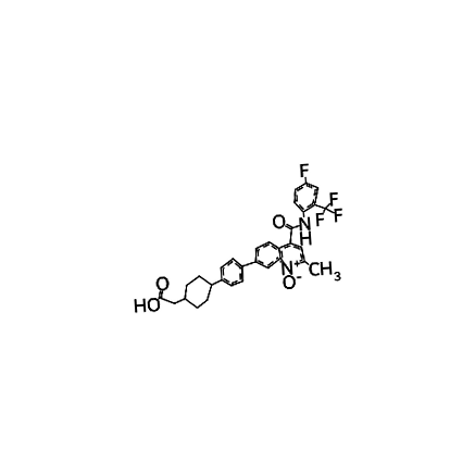 Cc1cc(C(=O)Nc2ccc(F)cc2C(F)(F)F)c2ccc(-c3ccc(C4CCC(CC(=O)O)CC4)cc3)cc2[n+]1[O-]